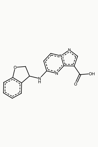 O=C(O)c1cnn2ccc(NC3COc4ccccc43)nc12